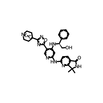 CC1(C)NC(=O)c2ccc(Nc3cc(N[C@H](CO)c4ccccc4)c(-c4nc(C56CCN(CC5)CC6)no4)cn3)nc21